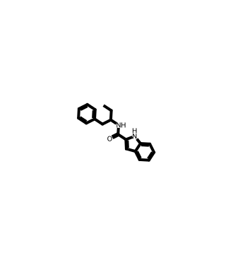 CCC(Cc1ccccc1)NC(=O)c1cc2ccccc2[nH]1